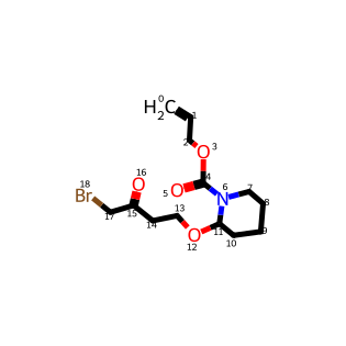 C=CCOC(=O)N1CCCCC1OCCC(=O)CBr